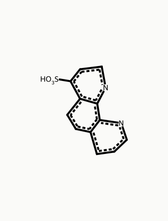 O=S(=O)(O)c1ccnc2c1ccc1cccnc12